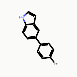 CCc1ccc(-c2ccc3[nH]ccc3c2)cc1